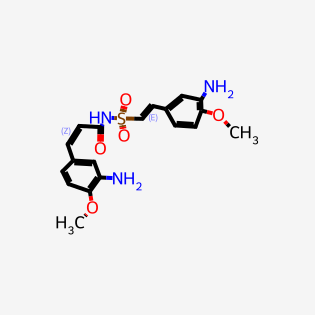 COc1ccc(/C=C\C(=O)NS(=O)(=O)/C=C/c2ccc(OC)c(N)c2)cc1N